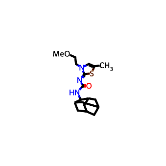 COCCn1cc(C)s/c1=N\C(=O)NC1C2CC3CC(C2)CC1C3